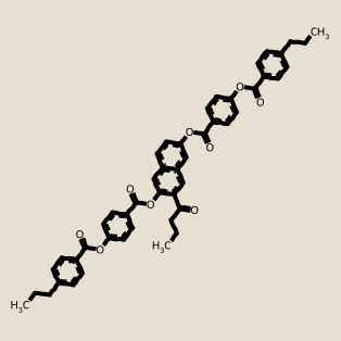 CCCC(=O)c1cc2cc(OC(=O)c3ccc(OC(=O)c4ccc(CCC)cc4)cc3)ccc2cc1OC(=O)c1ccc(OC(=O)c2ccc(CCC)cc2)cc1